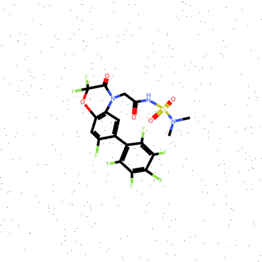 CN(C)S(=O)(=O)NC(=O)CN1C(=O)C(F)(F)Oc2cc(F)c(-c3c(F)c(F)c(F)c(F)c3F)cc21